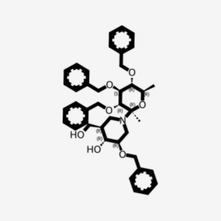 C[C@H]1O[C@@](C)(N2C[C@H](CO)[C@@H](O)[C@H](OCc3ccccc3)C2)[C@H](OCc2ccccc2)[C@@H](OCc2ccccc2)[C@@H]1OCc1ccccc1